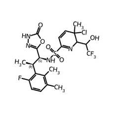 Cc1ccc(F)c([C@@H](C)[C@H](NS(=O)(=O)C2=NC(C(O)C(F)(F)F)C(C)(Cl)C=C2)c2n[nH]c(=O)o2)c1C